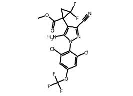 COC(=O)C1(c2c(C#N)nn(-c3c(Cl)cc(OC(F)(F)F)cc3Cl)c2N)CC1(F)F